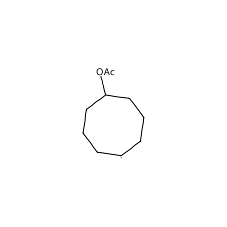 CC(=O)OC1CCC[CH]CCC1